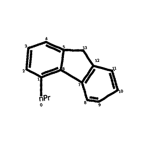 CCCc1cccc2c1-c1ccc[c]c1C2